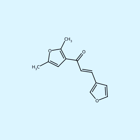 Cc1cc(C(=O)C=Cc2ccoc2)c(C)o1